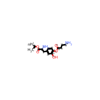 C=C(CCC)OC(=O)[C@@H](N)Cc1ccc(OC(=O)CCCN)c(O)c1